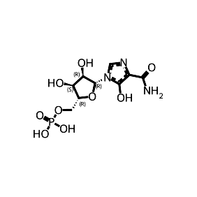 NC(=O)c1ncn([C@@H]2O[C@H](COP(=O)(O)O)[C@@H](O)[C@H]2O)c1O